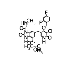 CNCC(=O)n1c(=O)[nH]c2c(C(=O)CC(C)(C)O)cc(Cc3c[nH]c(=O)c(Cl)c3OCc3ccc(F)cc3F)cc21